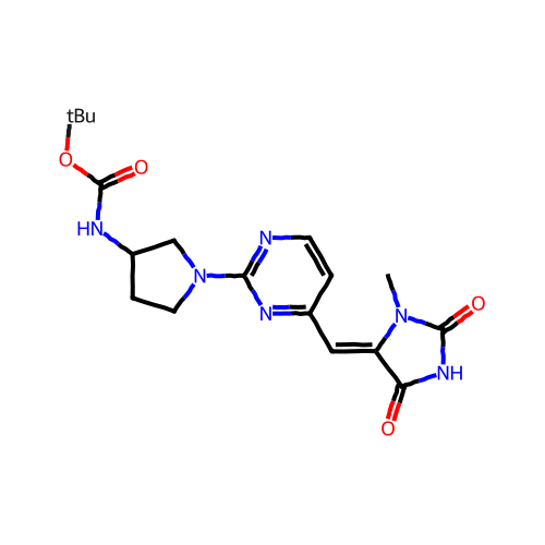 CN1C(=O)NC(=O)/C1=C/c1ccnc(N2CCC(NC(=O)OC(C)(C)C)C2)n1